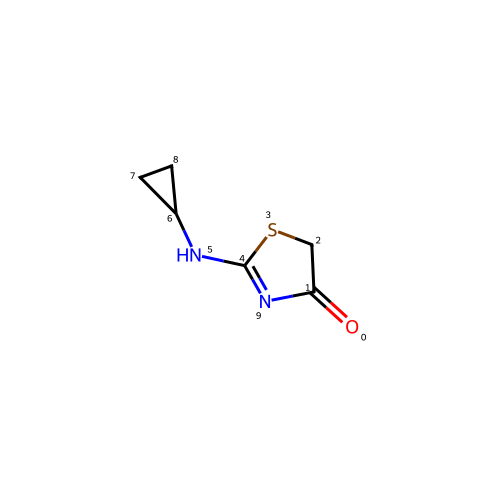 O=C1CSC(NC2CC2)=N1